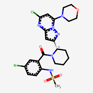 CS(=O)(=O)Nc1ccc(Br)cc1C(=O)N1CCCC[C@H]1c1cc2nc(Cl)cc(N3CCOCC3)n2n1